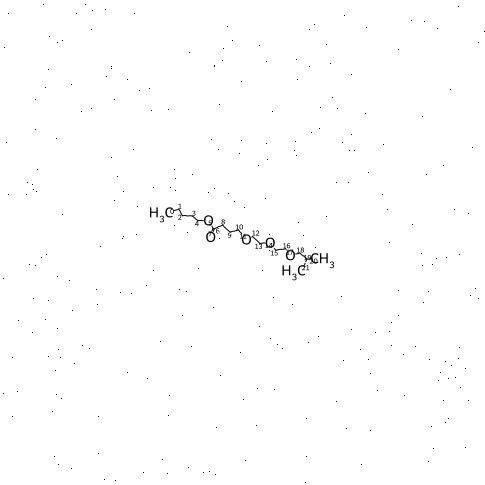 CCCCCOC(=O)CCCOCCOCCOCC(C)C